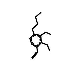 C=Cc1ccc(CCCC)c(CC)c1CC